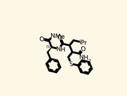 CNC(=O)[C@H](Cc1ccccc1)NC(=O)C(CC(C)C)C(CSc1ccccc1)C(N)=O